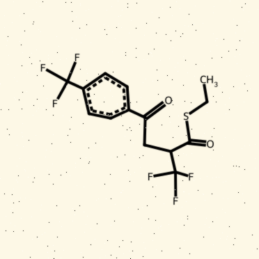 CCSC(=O)C(CC(=O)c1ccc(C(F)(F)F)cc1)C(F)(F)F